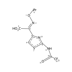 CC(C)O/N=C(\C(=O)O)c1csc(NC(=O)C(F)(F)F)n1